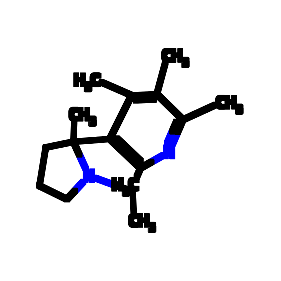 CCN1CCCC1(C)c1c(C)nc(C)c(C)c1C